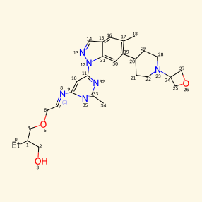 CCC(CO)COC/C=N/c1cc(-n2ncc3cc(C)c(C4CCN(C5COC5)CC4)cc32)nc(C)n1